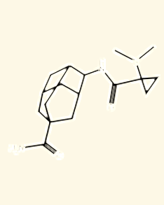 CN(C)C1(C(=O)NC2C3CC4CC2CC(C(N)=O)(C4)C3)CC1